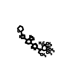 CCN(c1ccc(-c2ccc(-c3cnn(C4CCCCO4)c3)c3ncsc23)nn1)C1CC(C)(C)NC(C)(C)C1